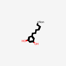 CCCCCCCCCC/C=C\CCCc1cc(O)cc(O)c1